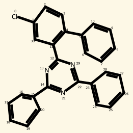 Clc1ccc(-c2ccccc2)c(-c2nc(-c3ccccc3)nc(-c3ccccc3)n2)c1